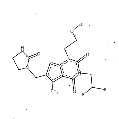 CCOCCn1c(=O)n(CC(F)F)c(=O)c2c(C)c(CN3CCNC3=O)sc21